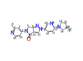 Cc1cc(N2Cc3nn(-c4ccc(N5CC[C@H](F)C5)nc4)cc3C2=O)ccn1